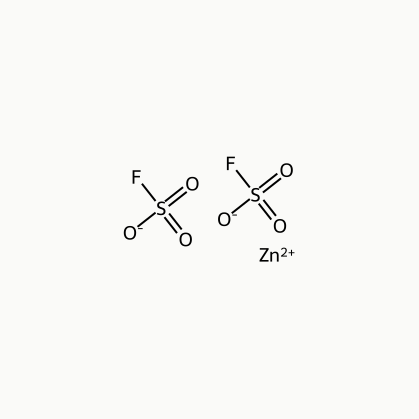 O=S(=O)([O-])F.O=S(=O)([O-])F.[Zn+2]